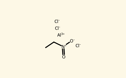 CC[N+](=O)[O-].[Al+3].[Cl-].[Cl-].[Cl-]